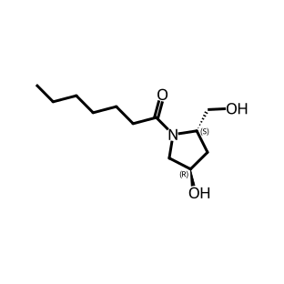 CCCCCCC(=O)N1C[C@H](O)C[C@H]1CO